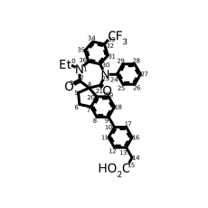 CCN1C(=O)C2(CCc3cc(-c4ccc(CC(=O)O)cc4)ccc32)C(=O)N(c2ccccc2)c2cc(C(F)(F)F)ccc21